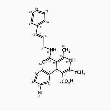 CC1=C(C(=O)O)C(c2cccc(Br)c2)C(C(=O)NC/C=C/c2ccccc2)=C(C)N1